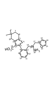 CC1(C)CCc2sc(-c3ccccc3CN(N)Cc3ccco3)c(C(=O)O)c2C1